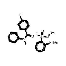 CC(=O)Nc1ccccc1[As](=O)(O)OO.CN(C(=O)c1ccc(F)cc1)c1ccccc1